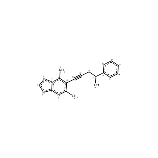 Cc1nc2ncnn2c(N)c1C#CCC(O)c1ccccc1